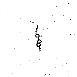 CCCCOC1=CC(=O)N(C2=Cc3ccc(C#N)cc3CC2)CC1